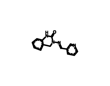 O=C1Nc2ccccc2CN1/N=C/c1cccnc1